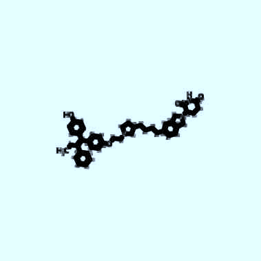 CCC(=C(c1ccc(O)cc1)c1ccc(OCCN2CCC(CCCCc3ccc4c(c3)CN(C3CCC(=O)NC3=O)C4)C2)cc1)c1ccccc1